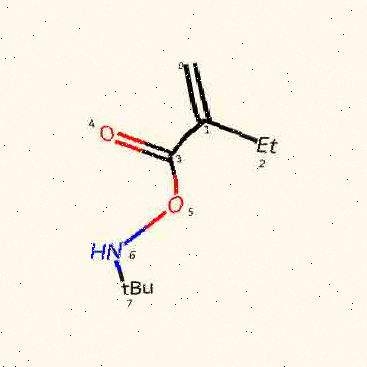 C=C(CC)C(=O)ONC(C)(C)C